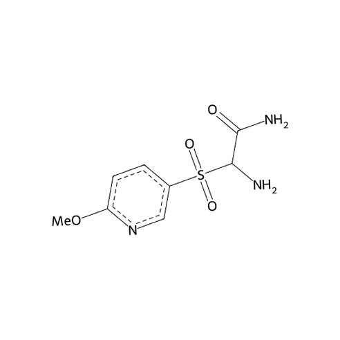 COc1ccc(S(=O)(=O)C(N)C(N)=O)cn1